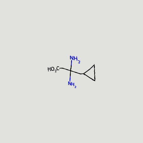 NC(N)(C(=O)O)C1CC1